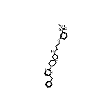 CNS(=O)(=O)c1cccc(OCCCN[C@H]2COC3(CCN(c4nccc(Cc5ccccc5)n4)CC3)C2)c1